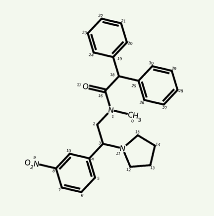 CN(CC(c1cccc([N+](=O)[O-])c1)N1CCCC1)C(=O)C(c1ccccc1)c1ccccc1